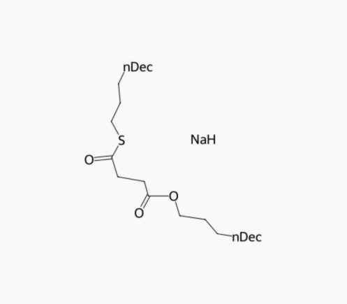 CCCCCCCCCCCCCOC(=O)CCC(=O)SCCCCCCCCCCCCC.[NaH]